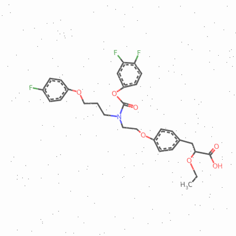 CCOC(Cc1ccc(OCCN(CCCOc2ccc(F)cc2)C(=O)Oc2ccc(F)c(F)c2)cc1)C(=O)O